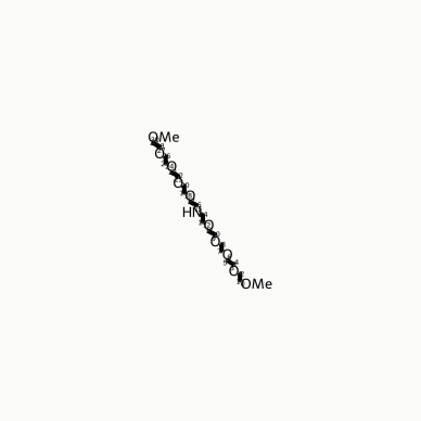 COCCOCCOCCOCCOCCNCCOCCOCCOCCOCCOC